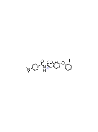 CN(C)c1ccc(C(=O)N/C(=C/c2ccc(Oc3ccccc3I)cc2)C(=O)O)cc1